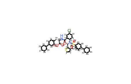 Cc1ccsc1CN(c1ccc(Cl)cc1C(=O)N[C@@H](Cc1ccc(-c2ccccc2)cc1)C(=O)O)S(=O)(=O)c1ccc(-c2ccccc2)cc1